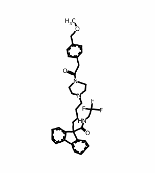 COCc1ccc(CC(=O)N2CCN(CCCCC3(C(=O)NCC(F)(F)F)c4ccccc4-c4ccccc43)CC2)cc1